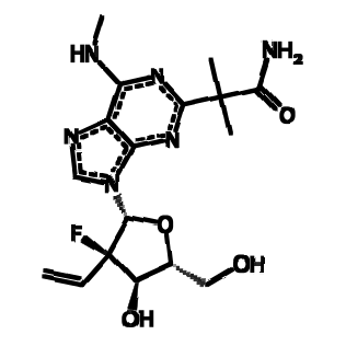 C=C[C@@]1(F)[C@H](O)[C@@H](CO)O[C@H]1n1cnc2c(NC)nc(C(C)(C)C(N)=O)nc21